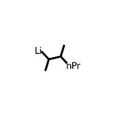 [Li][CH](C)C(C)CCC